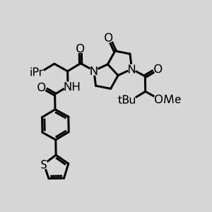 COC(C(=O)N1CC(=O)C2C1CCN2C(=O)C(CC(C)C)NC(=O)c1ccc(-c2cccs2)cc1)C(C)(C)C